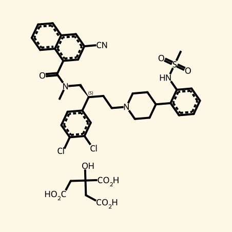 CN(C[C@@H](CCN1CCC(c2ccccc2NS(C)(=O)=O)CC1)c1ccc(Cl)c(Cl)c1)C(=O)c1cc(C#N)cc2ccccc12.O=C(O)CC(O)(CC(=O)O)C(=O)O